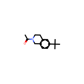 CC(=O)N1CCc2cc(C(C)(C)C)ccc2C1